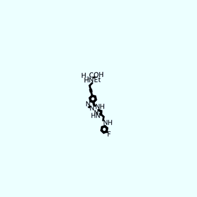 CCC(C)(O)NCCC#Cc1ccc2c(Nc3cc(CCNc4cccc(F)c4)[nH]n3)ncnc2c1